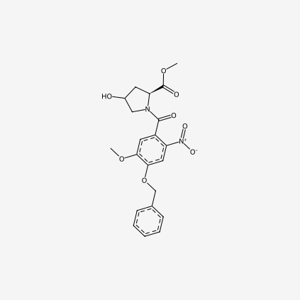 COC(=O)[C@@H]1CC(O)CN1C(=O)c1cc(OC)c(OCc2ccccc2)cc1[N+](=O)[O-]